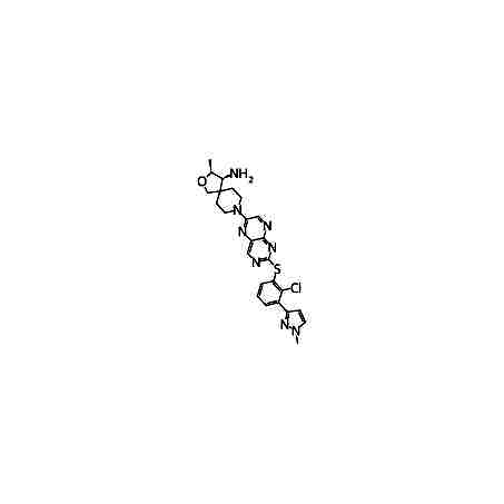 C[C@@H]1OCC2(CCN(c3cnc4nc(Sc5cccc(-c6ccn(C)n6)c5Cl)ncc4n3)CC2)[C@@H]1N